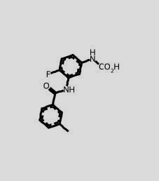 Cc1cccc(C(=O)Nc2cc(NC(=O)O)ccc2F)c1